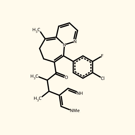 CN/C=C(\C=N)C(C)C(C)C(=O)C1=C(c2ccc(Cl)c(F)c2)N2N=CC=CC2=C(C)CC1